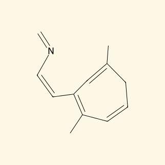 C=N/C=C\C1=C(C)C=CCC(C)=C1